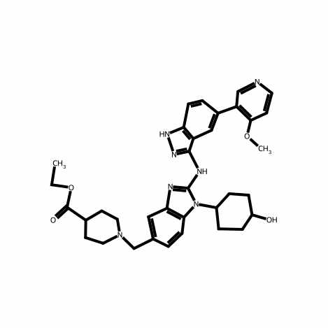 CCOC(=O)C1CCN(Cc2ccc3c(c2)nc(Nc2n[nH]c4ccc(-c5cnccc5OC)cc24)n3C2CCC(O)CC2)CC1